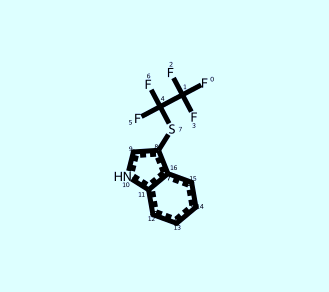 FC(F)(F)C(F)(F)Sc1c[nH]c2ccccc12